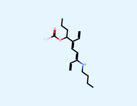 BC(=O)OC(CCC)/C(C=C)=C/C=C(\C=C)NCCCC